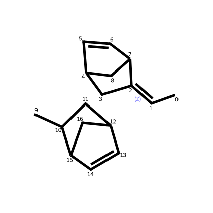 C/C=C1/CC2C=CC1C2.CC1CC2C=CC1C2